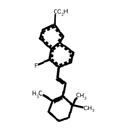 CC1=C(/C=C/c2ccc3cc(C(=O)O)ccc3c2F)C(C)(C)CCC1